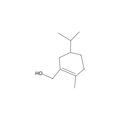 CC1=C(CO)CC(C(C)C)CC1